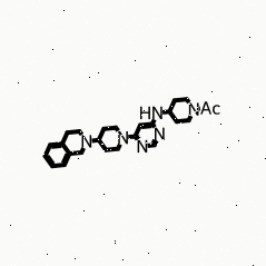 CC(=O)N1CCC(Nc2cc(N3CCC(N4CCc5ccccc5C4)CC3)ncn2)CC1